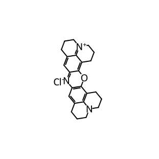 [Cl-].c1c2c3c(c4c1N=c1cc5c6c(c1O4)CCC[N+]=6CCC5)CCCN3CCC2